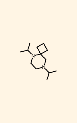 CC(C)N1CCN(C(C)C)C2(CCC2)C1